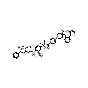 COC1(Cc2ccccc2-c2cccs2)CCN(c2ccc(C(=O)NS(=O)(=O)c3ccc(NCCC(CSc4ccccc4)N(C)C)c([N+](=O)[O-])c3)cc2)CC1